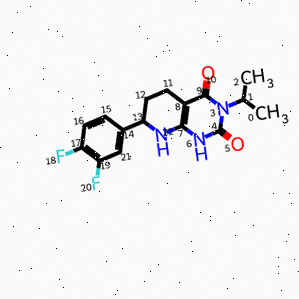 CC(C)n1c(=O)[nH]c2c(c1=O)CCC(c1ccc(F)c(F)c1)N2